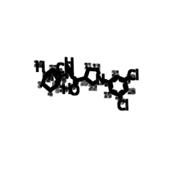 N#CN1[C@H]2CC[C@@H]1[C@H](NC(=O)C1CCN(c3cc(Cl)cc(Cl)c3)C1)C2